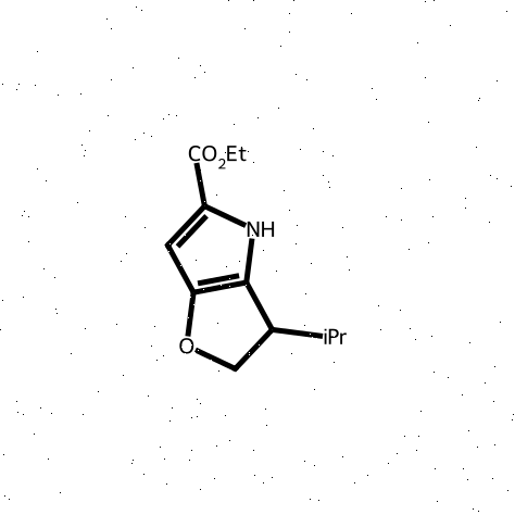 CCOC(=O)c1cc2c([nH]1)C(C(C)C)CO2